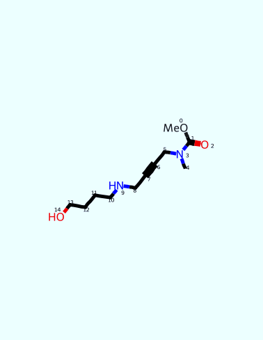 COC(=O)N(C)CC#CCNCCCCO